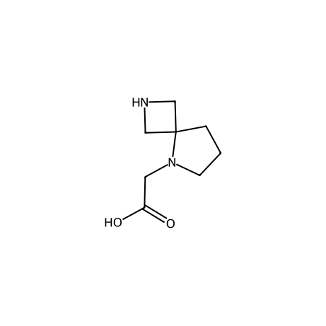 O=C(O)CN1CCCC12CNC2